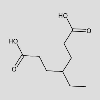 CCC(CCC(=O)O)CCC(=O)O